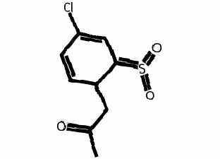 CC(=O)CC1C=CC(Cl)=CC1=S(=O)=O